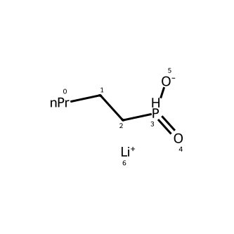 CCCCC[PH](=O)[O-].[Li+]